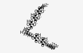 O.O=P([O-])([O-])O.O=P([O-])([O-])O.O=P([O-])([O-])O.O=P([O-])([O-])O.O=P([O-])([O-])O.[Al+3].[Al+3].[Al+3].[Mg+2].[Mg+2].[Mg+2].[OH-].[OH-].[OH-].[OH-].[OH-]